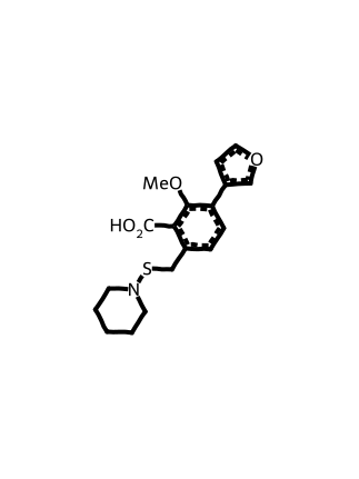 COc1c(-c2ccoc2)ccc(CSN2CCCCC2)c1C(=O)O